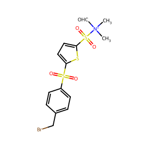 C[N+](C)(C=O)S(=O)(=O)c1ccc(S(=O)(=O)c2ccc(CBr)cc2)s1